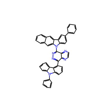 c1ccc(-c2ccc3c(c2)c2cc4ccccc4cc2n3-c2nnc(-c3cccc4c3c3ccccc3n4-c3ccccc3)c3nccnc23)cc1